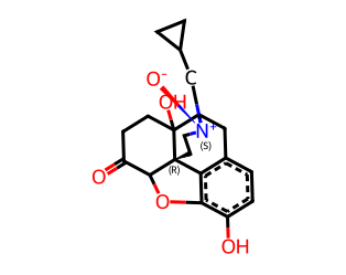 O=C1CCC2(O)C3Cc4ccc(O)c5c4[C@]2(CC[N@+]3([O-])CC2CC2)C1O5